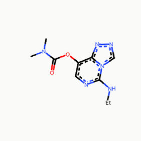 CCNc1ncc(OC(=O)N(C)C)c2nncn12